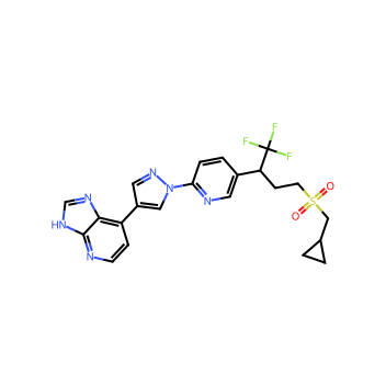 O=S(=O)(CCC(c1ccc(-n2cc(-c3ccnc4[nH]cnc34)cn2)nc1)C(F)(F)F)CC1CC1